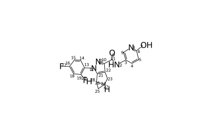 O=C(Nc1ccc(O)nc1)c1nn(-c2ccc(F)cc2F)c2c1C[C@H]1C[C@@H]21